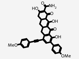 COc1ccc(C#Cc2cc(-c3ccc(OC)cc3)c(O)c3c2CC2CC4CC(O)=C(C(N)=O)C(=O)C4C(O)=C2C3=O)cc1